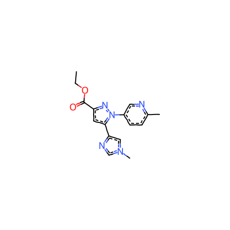 CCOC(=O)c1cc(-c2cn(C)cn2)n(-c2ccc(C)nc2)n1